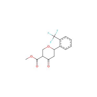 COC(=O)C1COC(c2ccccc2C(F)(F)F)CC1=O